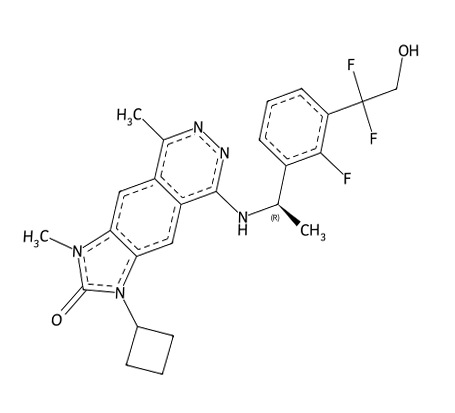 Cc1nnc(N[C@H](C)c2cccc(C(F)(F)CO)c2F)c2cc3c(cc12)n(C)c(=O)n3C1CCC1